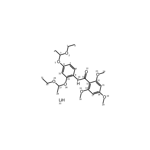 CCOC(C)Oc1ccc(PC(=O)c2c(OC)cc(OC)cc2OC)c(OC(C)OCC)c1.[LiH]